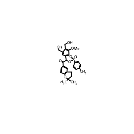 COc1cc(C(OS(=O)(=O)c2ccc(C)cc2)C(=O)c2ccc3c(c2)CCC(C)(C)O3)cc(CO)c1CO